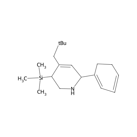 CC(C)(C)CC1=CC(C2=CC=CCC2)NCC1[Si](C)(C)C